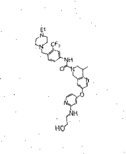 CCN1CCN(Cc2ccc(NC(=O)N3Cc4cc(Oc5ccnc(NCCO)c5)cnc4C(C)C3)cc2C(F)(F)F)CC1